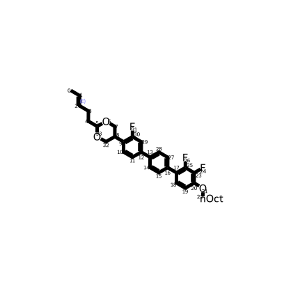 C/C=C/CCC1OCC(c2ccc(-c3ccc(-c4ccc(OCCCCCCCC)c(F)c4F)cc3)cc2F)CO1